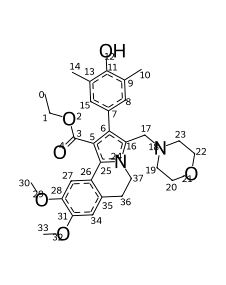 CCOC(=O)c1c(-c2cc(C)c(O)c(C)c2)c(CN2CCOCC2)n2c1-c1cc(OC)c(OC)cc1CC2